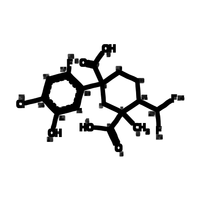 CC1(C(=O)O)CC(C(=O)O)(c2cc(O)c(Cl)cc2F)CCC1C(F)F